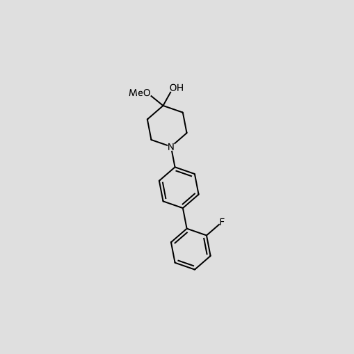 COC1(O)CCN(c2ccc(-c3ccccc3F)cc2)CC1